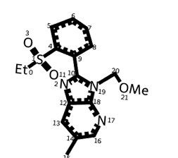 CCS(=O)(=O)c1ccccc1-c1nc2cc(C)cnc2n1COC